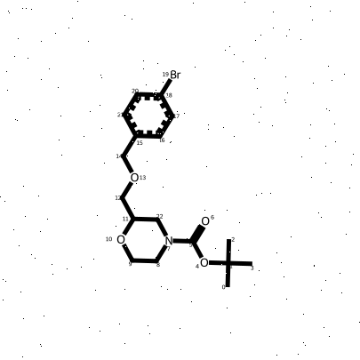 CC(C)(C)OC(=O)N1CCOC(COCc2ccc(Br)cc2)C1